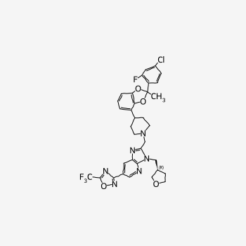 CC1(c2ccc(Cl)cc2F)Oc2cccc(C3CCN(Cc4nc5cc(-c6noc(C(F)(F)F)n6)cnc5n4C[C@H]4CCOC4)CC3)c2O1